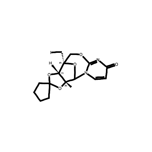 C[C@@]12OC3(CCCC3)O[C@@H]1[C@@]1(CI)COc3nc(=O)ccn3C2O1